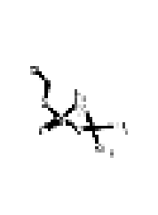 CC(C)(C)OP(C)(=O)OCCl